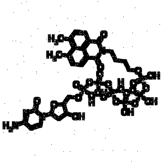 Cc1ccc2c3c(ccc(C)c13)C(=O)N(CCCCOP(=O)(O)OP(=O)(O)OP(=O)(O)OP(=O)(O)OP(=O)(O)OP(=O)(O)OCC1OC(n3ccc(N)nc3=O)CC1O)C2=O